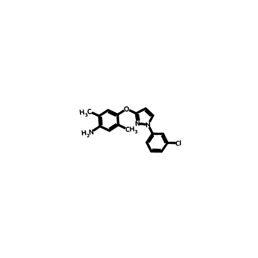 Cc1cc(Oc2ccn(-c3cccc(Cl)c3)n2)c(C)cc1N